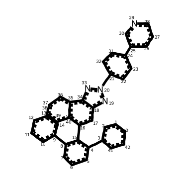 c1ccc(-c2cccc(-c3ccccc3)c2-c2cc3nn(-c4ccc(-c5cccnc5)cc4)nc3c3ccccc23)cc1